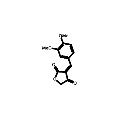 COc1ccc(C=C2C(=O)COC2=O)cc1OC